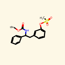 CC(C)(C)OC(=O)NC(Cc1cccc(OS(C)(=O)=O)c1)c1ccccc1